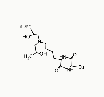 CCCCCCCCCCC(O)CN(CCCCC1NC(=O)C(C(C)CC)NC1=O)CC(C)O